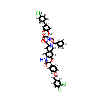 O=C(N[C@@H](Cc1ccc(-c2ccc(Cl)cc2)cc1)C(=O)O)C1Cc2cc3c(cc2CN1C(=O)c1ccccc1)O[C@@H](c1ccc(OCc2ccc(Cl)c(Cl)c2)cc1)C(=O)N3